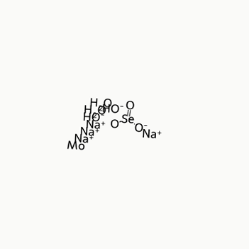 O.O.O=[Se]([O-])[O-].[Mo].[Na+].[Na+].[Na+].[Na+].[OH-].[OH-]